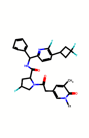 CCn1cc(CC(=O)N2CC(F)CC2C(=O)NC(c2ccccc2)c2ccc(C3CC(F)(F)C3)c(F)n2)cc(C)c1=O